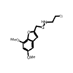 COc1cc(OC)c2oc(CONCCCl)cc2c1